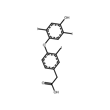 O=C(O)Cc1ccc(Oc2cc(I)c(O)cc2I)c(I)c1